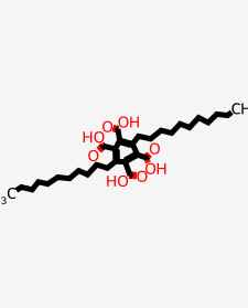 CCCCCCCCCCCc1c(C(=O)O)c(C(=O)O)c(CCCCCCCCCCC)c(C(=O)O)c1C(=O)O